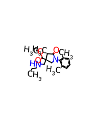 CCCNCC1(C(=O)OC)CN(c2c(C)cccc2C)C(=O)C1C